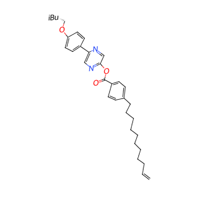 C=CCCCCCCCCCc1ccc(C(=O)Oc2cnc(-c3ccc(OC[C@@H](C)CC)cc3)cn2)cc1